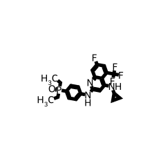 CCP(=O)(CC)c1ccc(Nc2cc(NC3CC3)c3c(C(F)(F)F)cc(F)cc3n2)cc1